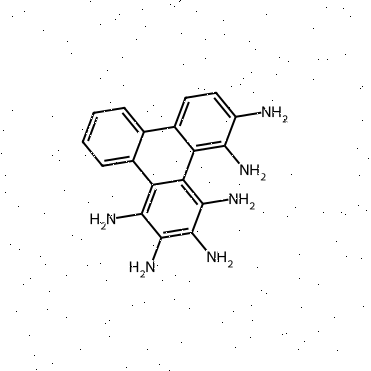 Nc1ccc2c3ccccc3c3c(N)c(N)c(N)c(N)c3c2c1N